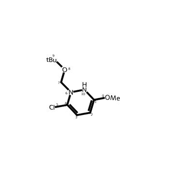 COC1=CC=C(Cl)N(COC(C)(C)C)N1